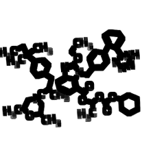 CCC(C)(C)c1ccc(CC(C)CN2C[C@@H](C)O[C@@H](C)C2)cc1.CCOc1nc2cccc(C(=O)OC(C)OC(=O)OC3CCCCC3)c2n1Cc1ccc(-c2ccccc2-c2nnn[nH]2)cc1